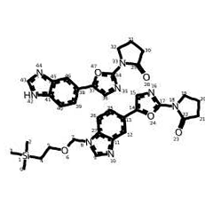 C[Si](C)(C)CCOCn1cnc2cc(-c3cnc(N4CCCC4=O)o3)ccc21.O=C1CCCN1c1ncc(-c2ccc3[nH]cnc3c2)o1